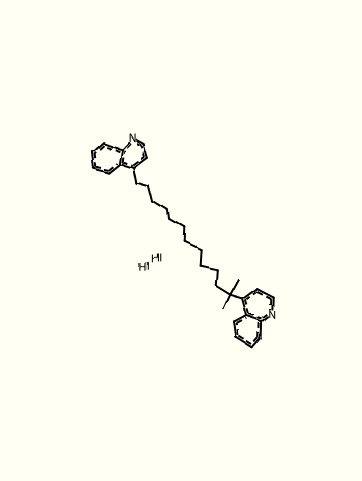 CC(C)(CCCCCCCCCCCc1ccnc2ccccc12)c1ccnc2ccccc12.I.I